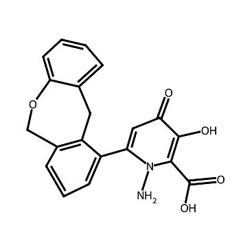 Nn1c(-c2cccc3c2Cc2ccccc2OC3)cc(=O)c(O)c1C(=O)O